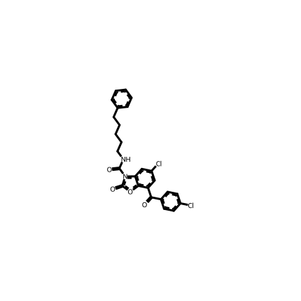 O=C(c1ccc(Cl)cc1)c1cc(Cl)cc2c1oc(=O)n2C(=O)NCCCCCc1ccccc1